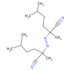 CC(C)CCC(C)(C#N)N=NC(C)(C#N)CCC(C)C